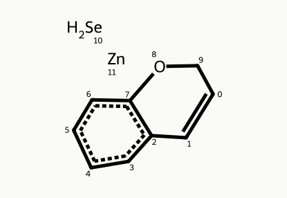 C1=Cc2ccccc2OC1.[SeH2].[Zn]